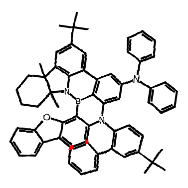 CC(C)(C)c1ccc(N2c3cc(N(c4ccccc4)c4ccccc4)cc4c3B(c3c2ccc2c3oc3ccccc32)N2c3c-4cc(C(C)(C)C)cc3C3(C)CCCCC23C)c(-c2ccccc2)c1